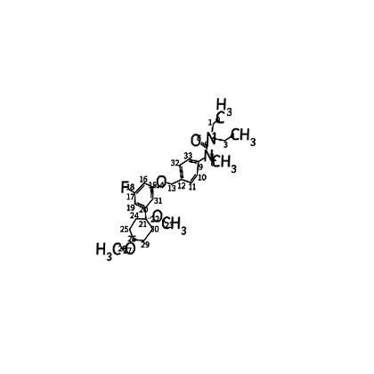 CCN(CC)C(=O)N(C)c1ccc(COc2cc(F)cc([C@]3(OC)CC[C@H](OC)CC3)c2)cc1